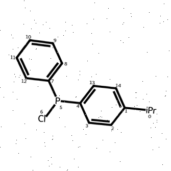 CC(C)c1ccc(P(Cl)c2ccccc2)cc1